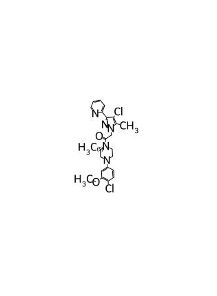 COc1cc(N2CCN(C(=O)Cn3nc(-c4ccccn4)c(Cl)c3C)[C@@H](C)C2)ccc1Cl